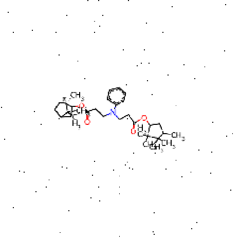 CC1CC(OC(=O)CCN(CCC(=O)OC2CC3CC[C@]2(C)C3(C)C)c2ccccc2)C(C)(C)C1(C)C